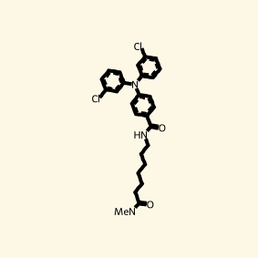 CNC(=O)CCCCCCNC(=O)c1ccc(N(c2cccc(Cl)c2)c2cccc(Cl)c2)cc1